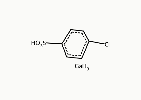 O=S(=O)(O)c1ccc(Cl)cc1.[GaH3]